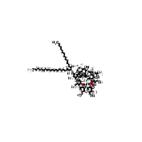 CCCCCCCCCCCCC/C=C/[C@@H](O)[C@H](CO[C@@H]1OC(CO)[C@@H](O[C@@H]2OC(CO)[C@H](O[C@@H]3OC(CO)[C@H](O)[C@H](O[C@@H]4OC(CO)[C@H](O)[C@H](O[C@@H]5OC(CO)[C@H](O)[C@H](O[C@]6(C(=O)O)CC(O)[C@@H](NC(C)=O)C([C@H](O)[C@@H](CO)O[C@]7(C(=O)O)CC(O)[C@@H](NC(C)=O)C([C@H](O)[C@H](O)CO)O7)O6)C5O)C4NC(C)=O)C3O)[C@H](O)C2O)[C@H](O)C1O)NC(=O)CCCCCCCCCCCCCCCCCCC